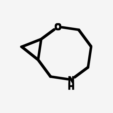 C1CNCC2CC2OC1